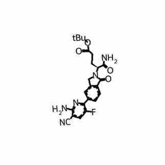 CC(C)(C)OC(=O)CC[C@@H](C(N)=O)N1Cc2cc(-c3nc(N)c(C#N)cc3F)ccc2C1=O